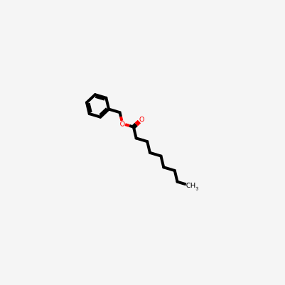 CCCCCCCCC(=O)OCc1ccccc1